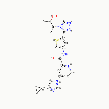 CC(O)C(C)n1cnnc1-c1cc(NC(=O)c2cc(-n3cnc(C4CC4)c3)ccn2)cs1